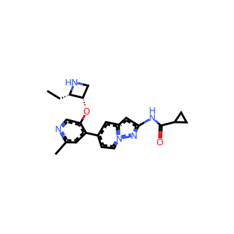 CC[C@@H]1NC[C@@H]1Oc1cnc(C)cc1-c1ccn2nc(NC(=O)C3CC3)cc2c1